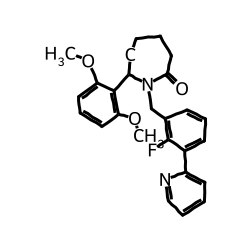 COc1cccc(OC)c1C1CCCCC(=O)N1Cc1cccc(-c2ccccn2)c1F